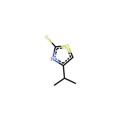 CC(C)c1csc([S])n1